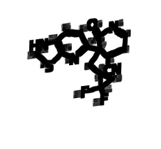 N#CC1=CC=NC(=O)C1(CC1CC1(F)F)c1ccc2c(n1)SCN2